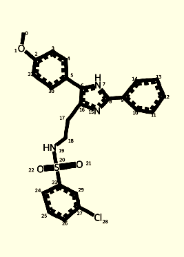 COc1ccc(-c2[nH]c(-c3ccccc3)nc2CCNS(=O)(=O)c2cccc(Cl)c2)cc1